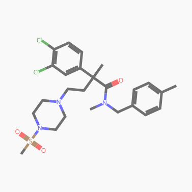 Cc1ccc(CN(C)C(=O)C(C)(CCN2CCN(S(C)(=O)=O)CC2)c2ccc(Cl)c(Cl)c2)cc1